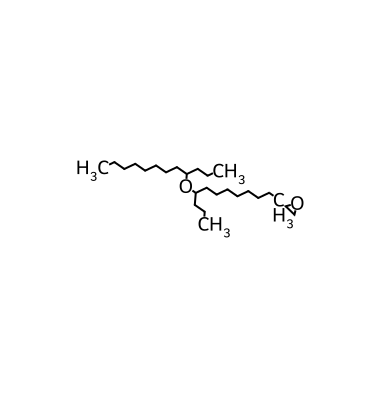 C1CO1.CCCCCCCCC(CCC)OC(CCC)CCCCCCCC